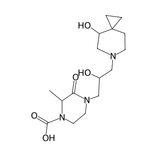 CC1C(=O)N(CC(O)CN2CCC3(CC3)C(O)C2)CCN1C(=O)O